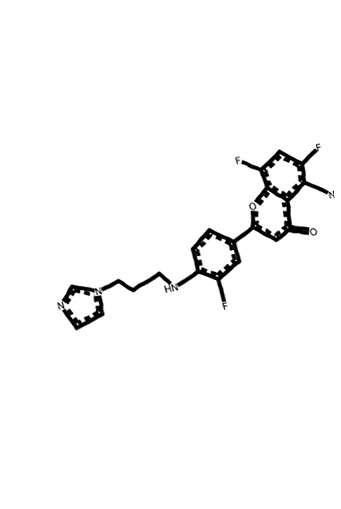 Nc1c(F)cc(F)c2oc(-c3ccc(NCCCn4ccnc4)c(F)c3)cc(=O)c12